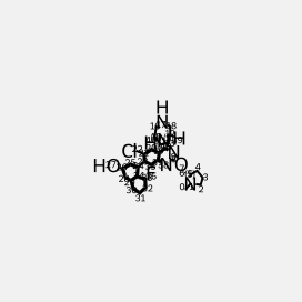 CN1CCC[C@H]1COc1nc(N2[C@H]3CC[C@H]2CNC3)c2cc(Cl)c(-c3cc(O)cc4ccccc34)c(F)c2n1